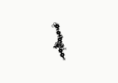 Cc1nc(C)c(S(=O)(=O)N2Cc3cc4c(cc3C[C@H]2C(=O)N[C@@H](Cc2ccc(-c3ccc(C#N)cc3)cc2)C(=O)O)OCC(c2ccc(OCc3ccc(Cl)c(Cl)c3)cc2)O4)s1